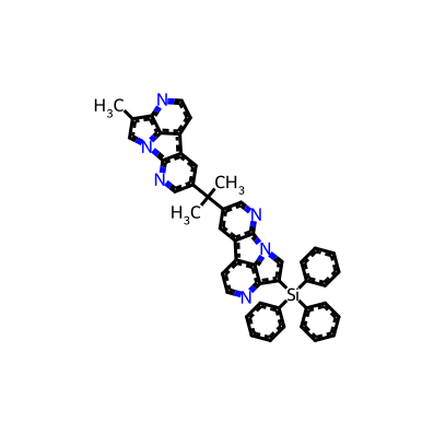 Cc1cn2c3ncc(C(C)(C)c4cnc5c(c4)c4ccnc6c([Si](c7ccccc7)(c7ccccc7)c7ccccc7)cn5c64)cc3c3ccnc1c32